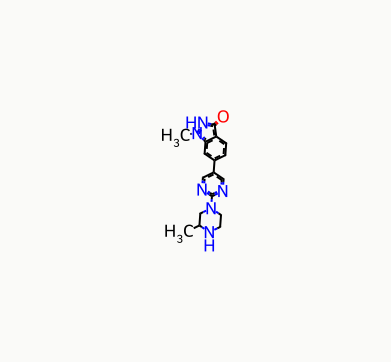 CC1CN(c2ncc(-c3ccc4c(=O)[nH]n(C)c4c3)cn2)CCN1